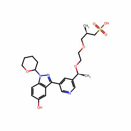 C[C@H](COCCO[C@@H](C)c1cncc(-c2nn(C3CCCCO3)c3ccc(O)cc23)c1)CS(=O)(=O)O